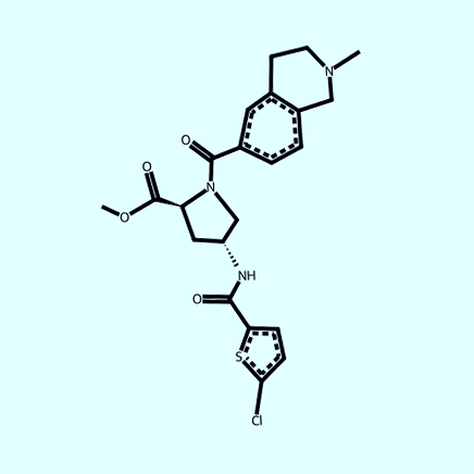 COC(=O)[C@@H]1C[C@@H](NC(=O)c2ccc(Cl)s2)CN1C(=O)c1ccc2c(c1)CCN(C)C2